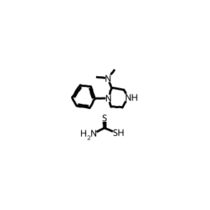 CN(C)C1CNCCN1c1ccccc1.NC(=S)S